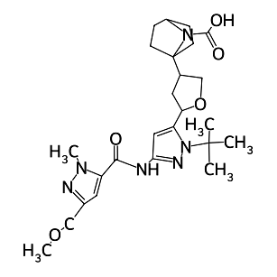 COCc1cc(C(=O)Nc2cc(C3CC(C45CCC(CC4)N5C(=O)O)CO3)n(C(C)(C)C)n2)n(C)n1